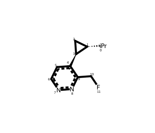 CC(C)[C@H]1C[C@@H]1c1ccnnc1CF